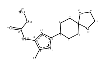 Cc1nc(C2CCC3(CC2)OCCO3)sc1NC(=O)OC(C)(C)C